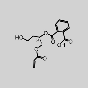 C=CC(=O)OC[C@H](CCO)OC(=O)c1ccccc1C(=O)O